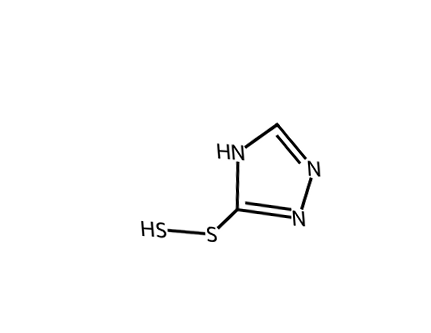 SSc1nnc[nH]1